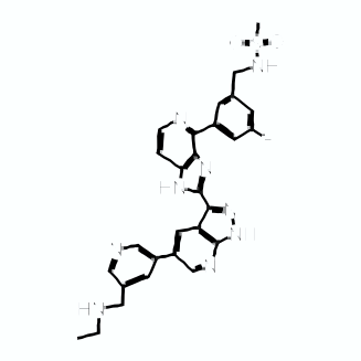 CCNCc1cncc(-c2cnc3[nH]nc(-c4nc5c(-c6cc(F)cc(CNS(C)(=O)=O)c6)nccc5[nH]4)c3c2)c1